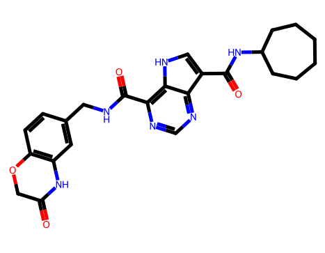 O=C1COc2ccc(CNC(=O)c3ncnc4c(C(=O)NC5CCCCCC5)c[nH]c34)cc2N1